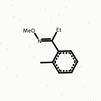 CCC(=NOC)c1ccccc1C